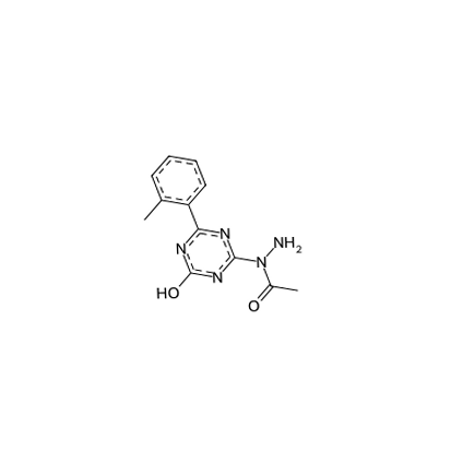 CC(=O)N(N)c1nc(O)nc(-c2ccccc2C)n1